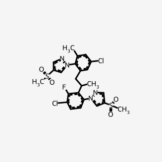 Cc1cc(Cl)cc(CC(C)c2c(-n3cc(S(C)(=O)=O)cn3)ccc(Cl)c2F)c1-n1cc(S(C)(=O)=O)cn1